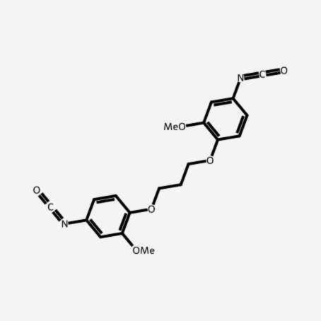 COc1cc(N=C=O)ccc1OCCCOc1ccc(N=C=O)cc1OC